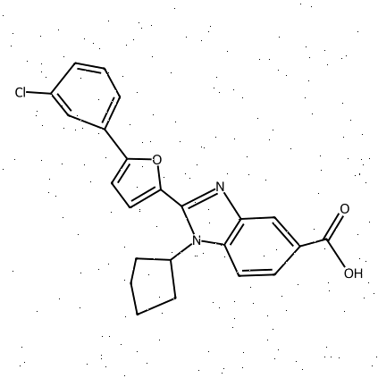 O=C(O)c1ccc2c(c1)nc(-c1ccc(-c3cccc(Cl)c3)o1)n2C1CCCC1